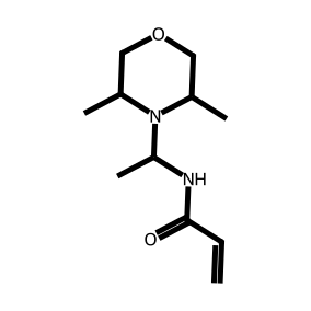 C=CC(=O)NC(C)N1C(C)COCC1C